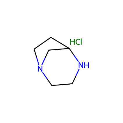 C1CN2CCC(C2)N1.Cl